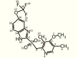 COc1c(C)cnc(CS(=O)(=O)c2nc3cc(OC(F)(F)F)ccc3[nH]2)c1C